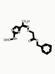 O=CNc1nc(C(=NOCC(=O)OCc2ccccc2)C(=O)O)cs1